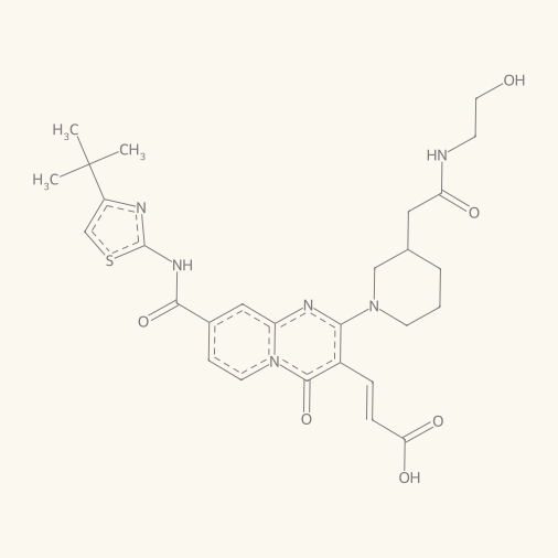 CC(C)(C)c1csc(NC(=O)c2ccn3c(=O)c(C=CC(=O)O)c(N4CCCC(CC(=O)NCCO)C4)nc3c2)n1